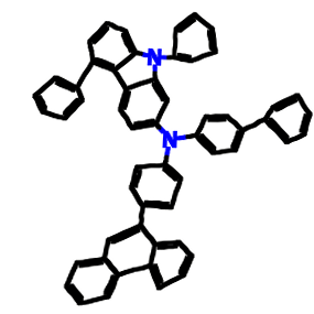 c1ccc(-c2ccc(N(c3ccc(-c4cc5ccccc5c5ccccc45)cc3)c3ccc4c5c(-c6ccccc6)cccc5n(-c5ccccc5)c4c3)cc2)cc1